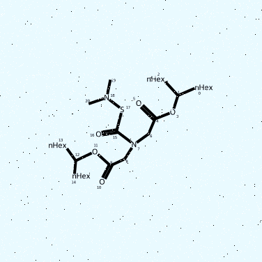 CCCCCCC(CCCCCC)OC(=O)CN(CC(=O)OC(CCCCCC)CCCCCC)C(=O)SN(C)C